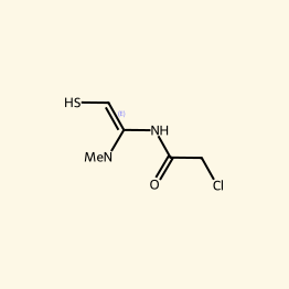 CN/C(=C\S)NC(=O)CCl